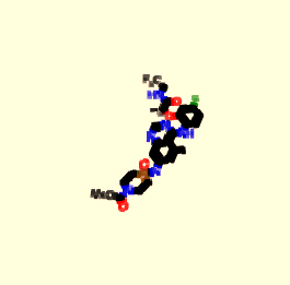 COC(=O)N1CCS(=O)(=Nc2cc(C)c3c(Nc4ccc(F)cc4O[C@H](C)C(=O)NCC(F)(F)F)ncnc3c2)CC1